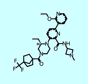 CCOc1ncccc1-c1ccc(N2CCN(C(=O)C34CCC(C(F)(F)F)(CC3)C4)C[C@H]2CC)c(C(=O)NC2CN(C)C2)n1